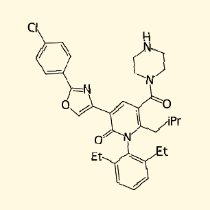 CCc1cccc(CC)c1-n1c(CC(C)C)c(C(=O)N2CCNCC2)cc(-c2coc(-c3ccc(Cl)cc3)n2)c1=O